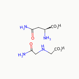 NC(=O)CNCC(=O)O.NC(=O)C[C@H](N)C(=O)O